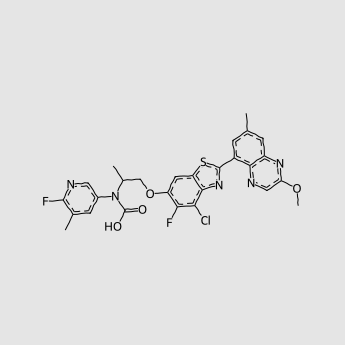 COc1cnc2c(-c3nc4c(Cl)c(F)c(OCC(C)N(C(=O)O)c5cnc(F)c(C)c5)cc4s3)cc(C)cc2n1